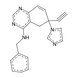 C#CC1(n2ccnc2)C=Cc2ncnc(NCc3ccccc3)c2C1